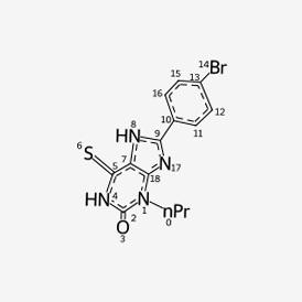 CCCn1c(=O)[nH]c(=S)c2[nH]c(-c3ccc(Br)cc3)nc21